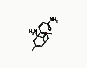 C/C=C1\C2C=C(C)C[C@]1(N)C(/C=C\C(N)=O)=CC2